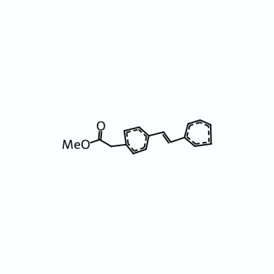 COC(=O)Cc1ccc(C=Cc2ccccc2)cc1